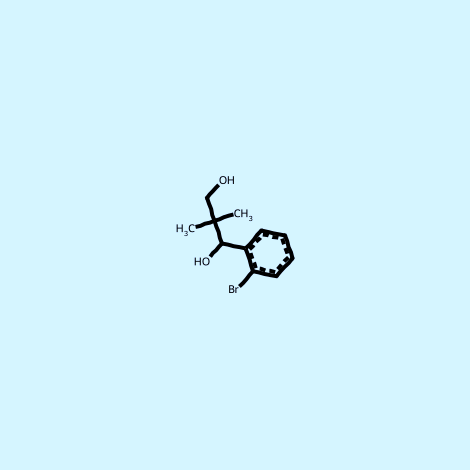 CC(C)(CO)C(O)c1ccccc1Br